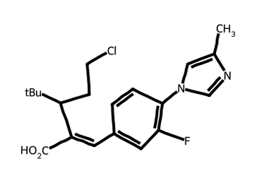 Cc1cn(-c2ccc(C=C(C(=O)O)C(CCCl)C(C)(C)C)cc2F)cn1